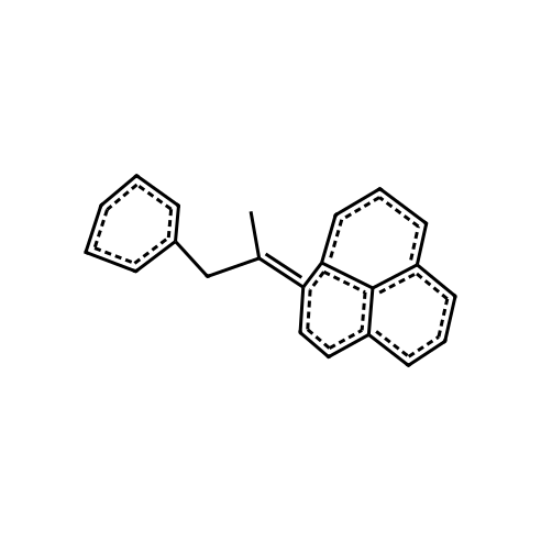 C/C(Cc1ccccc1)=c1/ccc2cccc3cccc1c32